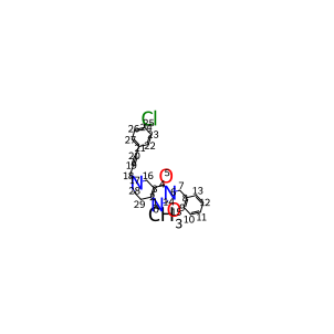 Cn1c2c(c(=O)n(Cc3ccccc3)c1=O)CN(CC#Cc1ccc(Cl)cc1)CC2